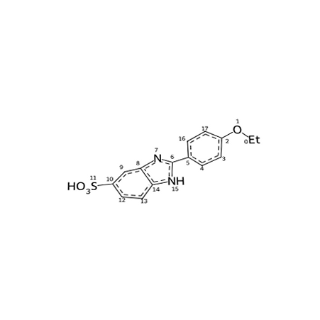 CCOc1ccc(-c2nc3cc(S(=O)(=O)O)ccc3[nH]2)cc1